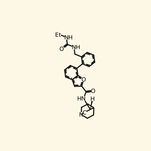 CCNC(=O)NCc1ccccc1-c1cccc2cc(C(=O)N[C@H]3CN4CCC3CC4)oc12